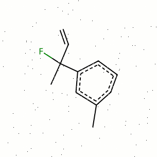 C=CC(C)(F)c1cccc(C)c1